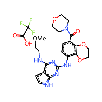 COCCNc1nc(Nc2ccc(C(=O)N3CCOCC3)c3c2OCCO3)nc2[nH]ccc12.O=C(O)C(F)(F)F